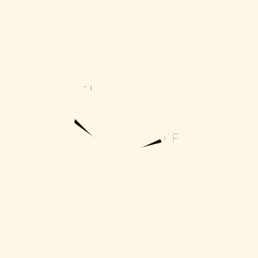 CC(C)C[C@@H]1C[C@@H]1C(F)(F)F